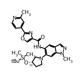 Cc1cc(-c2nc(C(=O)Nc3cc4cnn(C)c4cc3N3CC[C@H](O[Si](C)(C)C(C)(C)C)C3)co2)ccn1